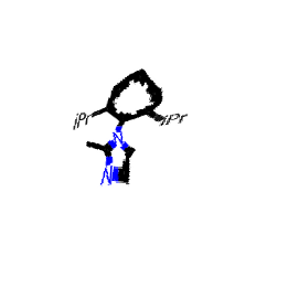 Cc1nccn1-c1c(C(C)C)cccc1C(C)C